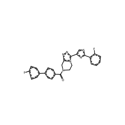 O=C(c1ccc(-c2ccc(F)cc2)cc1)N1CCn2c(nnc2-c2csc(-c3ccccc3F)n2)C1